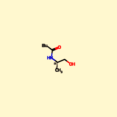 CCC(C)C(=O)N[C@@H](C)CO